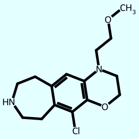 COCCN1CCOc2c1cc1c(c2Cl)CCNCC1